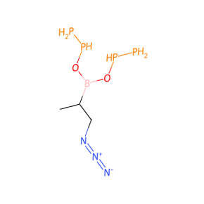 CC(CN=[N+]=[N-])B(OPP)OPP